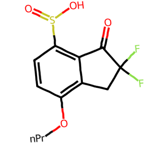 CCCOc1ccc(S(=O)O)c2c1CC(F)(F)C2=O